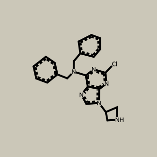 Clc1nc(N(Cc2ccccc2)Cc2ccccc2)c2ncn(C3CNC3)c2n1